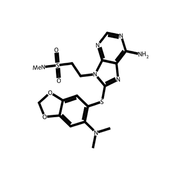 CNS(=O)(=O)CCn1c(Sc2cc3c(cc2N(C)C)OCO3)nc2c(N)ncnc21